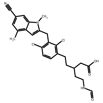 Cc1cc(C#N)cc2c1cc(Cc1c(Cl)ccc(CCC(CCNC=O)CC(=O)O)c1Cl)n2C